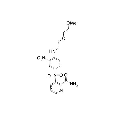 COCCOCCNc1ccc(S(=O)(=O)c2cccnc2C(N)=O)cc1[N+](=O)[O-]